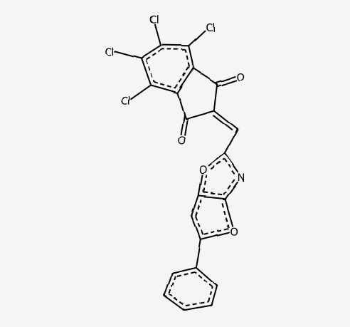 O=C1C(=Cc2nc3oc(-c4ccccc4)cc3o2)C(=O)c2c(Cl)c(Cl)c(Cl)c(Cl)c21